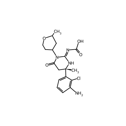 CC1CC(N2C(=O)C[C@@](C)(c3cccc(N)c3Cl)N/C2=N\C(=O)O)CCO1